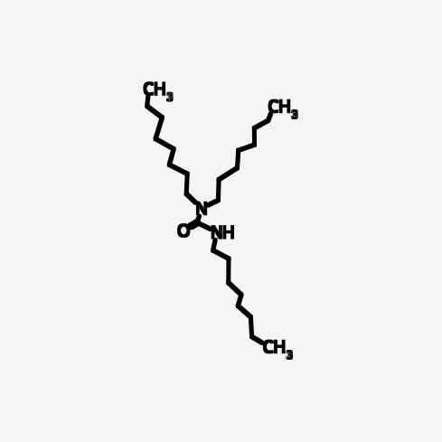 CCCCCCCCNC(=O)N(CCCCCCCC)CCCCCCCC